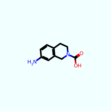 Nc1ccc2c(c1)CN(C(=O)O)CC2